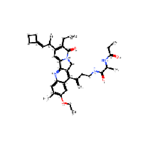 C=C(CCNC(=O)C(C)NC(=O)CC(C)C)c1c2c(nc3cc(C)c(OCC(C)CC)cc13)-c1cc(C(C=C3CCC3)CC)c(COC)c(=O)n1C2